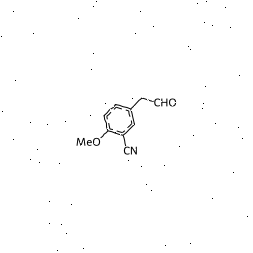 COc1ccc(CC=O)cc1C#N